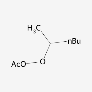 CCCCC(C)OOC(C)=O